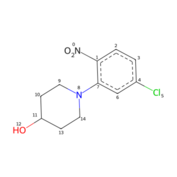 O=[N+]([O-])c1ccc(Cl)cc1N1CCC(O)CC1